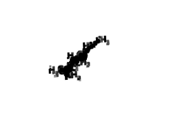 CCCCNCCCOc1cccc(-c2cccc(COc3cc(OC)c(CN)cc3Cl)c2C)c1C